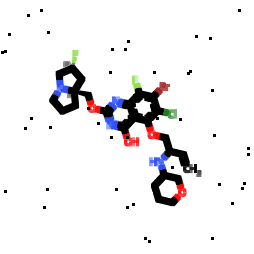 C=CC(COc1c(Cl)c(Br)c(F)c2nc(OC[C@@]34CCCN3C[C@H](F)C4)nc(O)c12)NC1CCCOC1